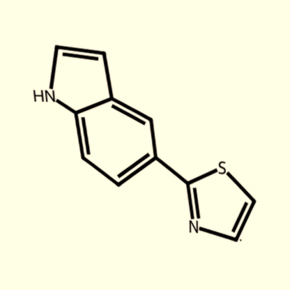 [c]1csc(-c2ccc3[nH]ccc3c2)n1